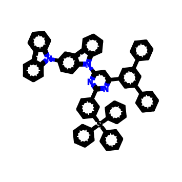 c1ccc(-c2cc(-c3ccccc3)cc(-c3cc(-n4c5ccccc5c5cc(-n6c7ccccc7c7ccccc76)ccc54)nc(-c4cccc([Si](c5ccccc5)(c5ccccc5)c5ccccc5)c4)n3)c2)cc1